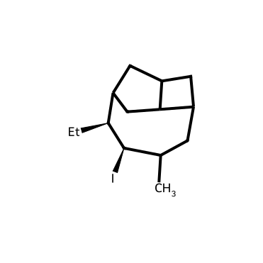 CC[C@H]1C2CC3CC(CC(C)[C@H]1I)C3C2